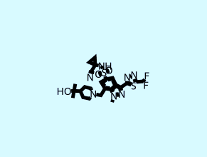 Cn1nc(-c2nnc(C(F)F)s2)c2cc(S(=O)(=O)NC3(C#N)CC3)cc(CN3CCC(C(C)(C)O)CC3)c21